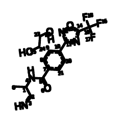 CC(C=N)NC(=O)c1ccc(-c2noc(C(F)(F)F)n2)cc1.OCCO